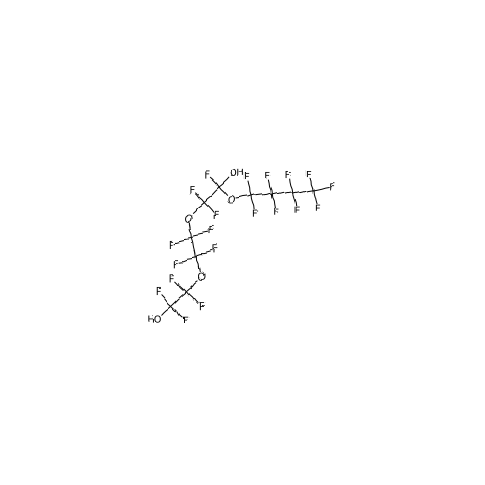 OC(F)(F)C(F)(F)OC(F)(F)C(F)(F)OC(F)(F)C(O)(F)OC(F)(F)C(F)(F)C(F)(F)C(F)(F)F